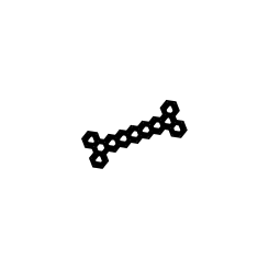 c1ccc2c(c1)c1ccccc1c1cc3cc4cc5cc6cc7c8ccccc8c8ccccc8c7cc6cc5cc4cc3cc21